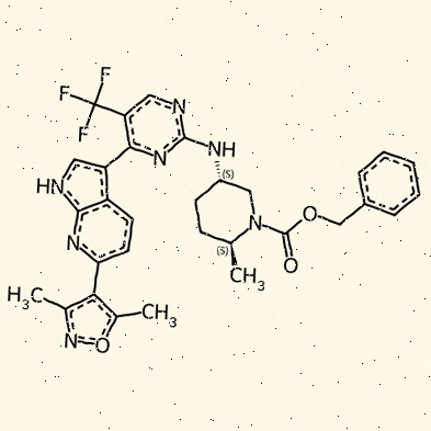 Cc1noc(C)c1-c1ccc2c(-c3nc(N[C@H]4CC[C@H](C)N(C(=O)OCc5ccccc5)C4)ncc3C(F)(F)F)c[nH]c2n1